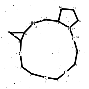 [C]1CCCCCCCC2CC2NCC2CCCN2C1